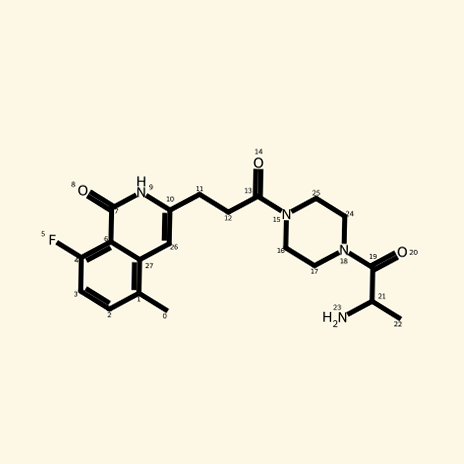 Cc1ccc(F)c2c(=O)[nH]c(CCC(=O)N3CCN(C(=O)C(C)N)CC3)cc12